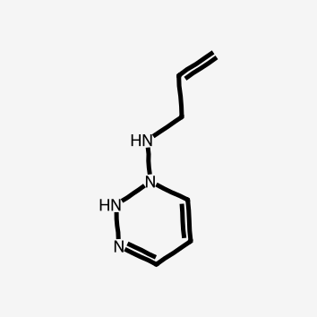 C=CCNN1C=CC=NN1